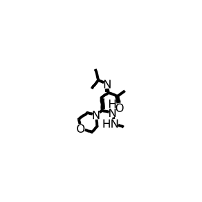 CNN/C(=C\C(=N/C(C)C)C(C)=O)N1CCOCC1